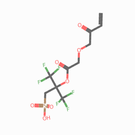 C=CC(=O)COCC(=O)OC(CS(=O)(=O)O)(C(F)(F)F)C(F)(F)F